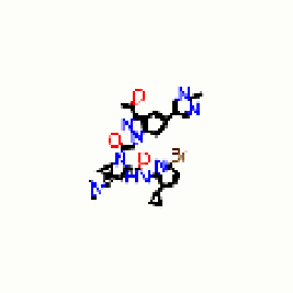 CC(=O)c1nn(CC(=O)N2C3C[C@]3(CN(C)C)C[C@H]2C(=O)Nc2nc(Br)ccc2C2CC2)c2ccc(-c3cnc(C)nc3)cc12